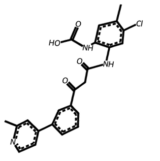 Cc1cc(-c2cccc(C(=O)CC(=O)Nc3cc(Cl)c(C)cc3NC(=O)O)c2)ccn1